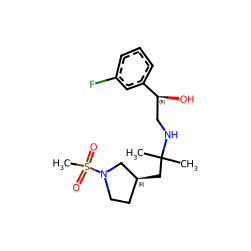 CC(C)(C[C@H]1CCN(S(C)(=O)=O)C1)NC[C@H](O)c1cccc(F)c1